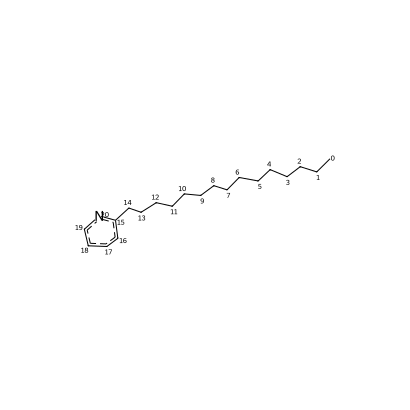 CCCCCCCCCCCCCCCc1ccccn1